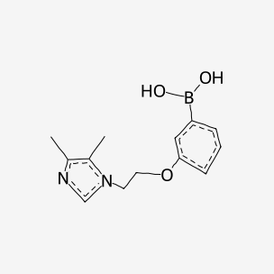 Cc1ncn(CCOc2cccc(B(O)O)c2)c1C